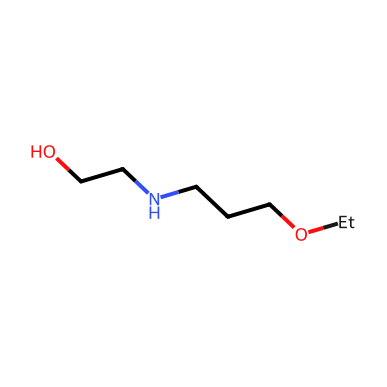 CCOCCCNCCO